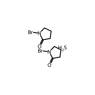 O=C1CCCN1Br.O=C1CCCN1Br.S